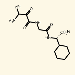 CCCC(N)C(=O)C(=O)NCC(=O)N[C@H](C(=O)O)C1CCCCC1